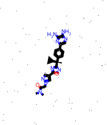 CN(C)C(=O)Cn1cc(-c2nc([C@@](C)(c3ccc(-c4cnc(N)c(N)n4)cc3)C3CC3)no2)cn1